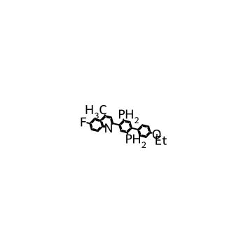 CCOc1ccc(-c2cc(P)c(-c3cc(C)c4cc(F)ccc4n3)cc2P)cc1